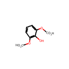 O=C(O)Oc1cccc(OC(=O)O)c1O